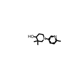 Cc1ccc(N2CCC(O)C(C)(C)C2)cn1